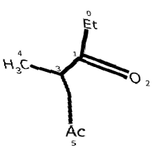 CCC(=O)C(C)C(C)=O